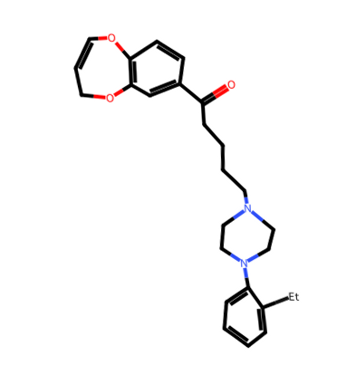 CCc1ccccc1N1CCN(CCCCC(=O)c2ccc3c(c2)OCC=CO3)CC1